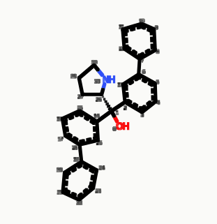 OC(c1cccc(-c2ccccc2)c1)(c1cccc(-c2ccccc2)c1)[C@@H]1CCCN1